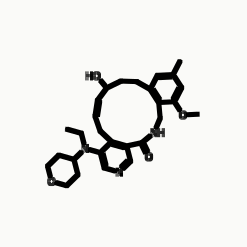 CCN(c1cncc2c1CC=CC(O)CCc1cc(C)cc(OC)c1CNC2=O)C1CCOCC1